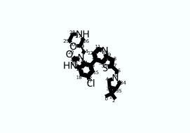 CC1(C)C2CN(Cc3cc4nccc(-c5cc(Cl)cc6[nH]c(=O)n(C[C@@H]7CNCCO7)c56)c4s3)CC21